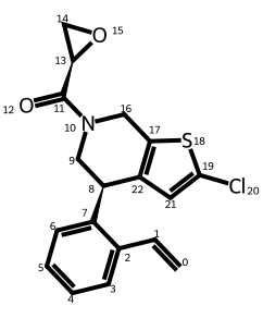 C=Cc1ccccc1[C@H]1CN(C(=O)[C@H]2CO2)Cc2sc(Cl)cc21